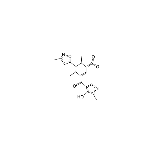 CC1=C(c2cc(C)no2)C(C)C(=S(=O)=O)C=C1C(=O)c1cnn(C)c1O